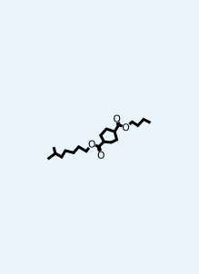 CCCCOC(=O)C1CCC(C(=O)OCCCCCC(C)C)CC1